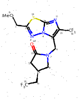 COCc1nn2c(CN3C[C@@H](CC(F)(F)F)CC3=O)c(C(F)(F)F)nc2s1